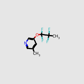 Cc1cncc(OC(F)(F)C(C)(F)F)c1